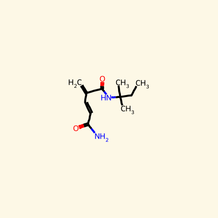 C=C(C=CC(N)=O)C(=O)NC(C)(C)CC